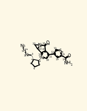 [N-]=[N+]=NC[C@H]1CCC[C@H]1n1cc(-c2csc(C(N)=O)c2)c2c1C1CN1C2=O